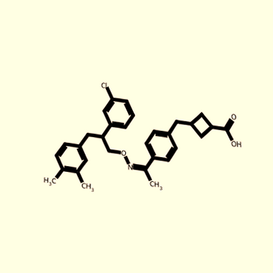 CC(=NOCC(Cc1ccc(C)c(C)c1)c1cccc(Cl)c1)c1ccc(CC2CC(C(=O)O)C2)cc1